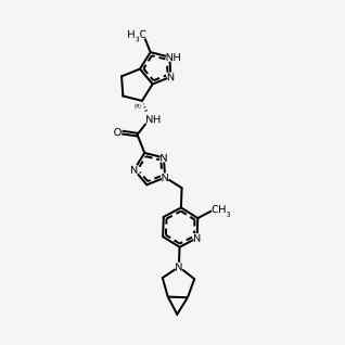 Cc1nc(N2CC3CC3C2)ccc1Cn1cnc(C(=O)N[C@@H]2CCc3c2n[nH]c3C)n1